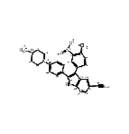 Cc1ccc(-c2c(-c3ccc(N4CCN(C)CC4)cc3)[nH]c3ncc(C#N)cc23)cc1[N+](=O)[O-]